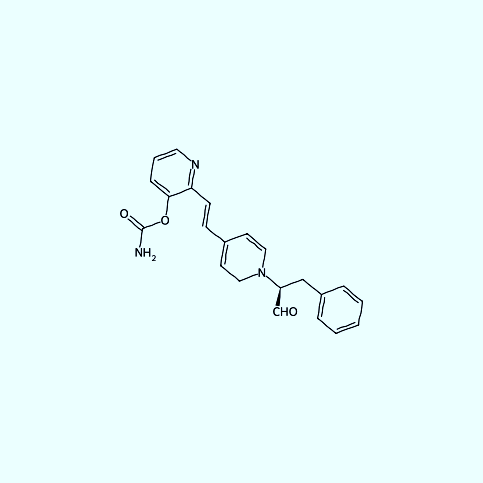 NC(=O)Oc1cccnc1C=CC1=CCN([C@H](C=O)Cc2ccccc2)C=C1